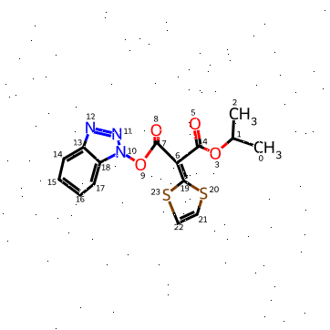 CC(C)OC(=O)C(C(=O)On1nnc2ccccc21)=C1SC=CS1